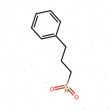 O=[SH](=O)CC[CH]c1ccccc1